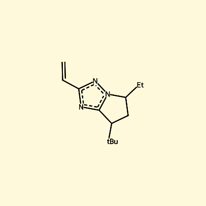 C=Cc1nc2n(n1)C(CC)CC2C(C)(C)C